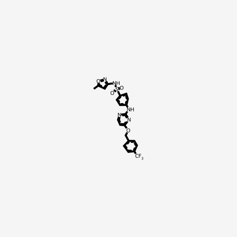 Cc1cc(NS(=O)(=O)c2ccc(Nc3nccc(OCc4ccc(C(F)(F)F)cc4)n3)cc2)no1